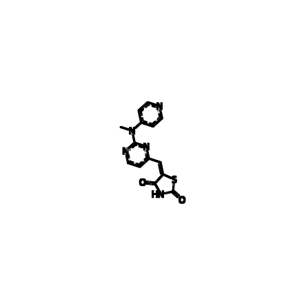 CN(c1ccncc1)c1nccc(C=C2SC(=O)NC2=O)n1